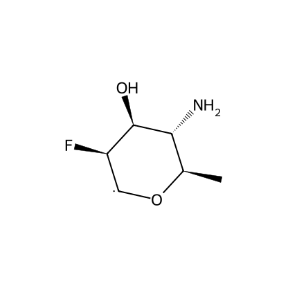 C[C@H]1O[CH][C@@H](F)[C@@H](O)[C@@H]1N